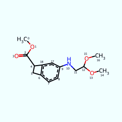 COC(=O)C1Cc2ccc(NCC(OC)OC)cc21